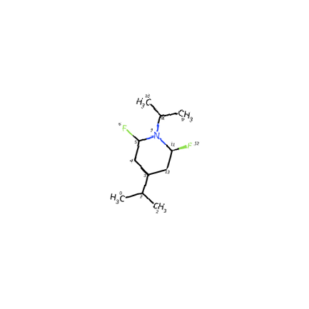 CC(C)C1CC(F)N(C(C)C)[C@@H](F)C1